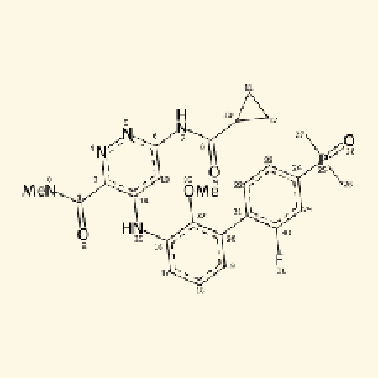 CNC(=O)c1nnc(NC(=O)C2CC2)cc1Nc1cccc(-c2ccc(P(C)(C)=O)cc2F)c1OC